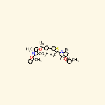 CCc1ccc(O[C@H]2CCC[C@@H](C)C2)c2c(C(=O)O)cc(-c3sc4ccc(-c5ccc([C@H](C)Oc6ccc(C)c7nc(-c8oc9ccccc9c8C)cc(C(=O)O)c67)cc5)cc4c3C)nc12